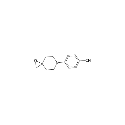 N#Cc1ccc(N2CCC3(CC2)CO3)cc1